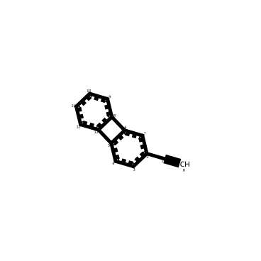 C#Cc1ccc2c(c1)-c1ccccc1-2